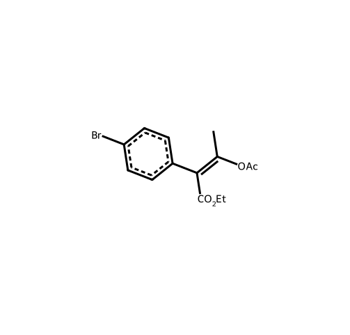 CCOC(=O)C(=C(C)OC(C)=O)c1ccc(Br)cc1